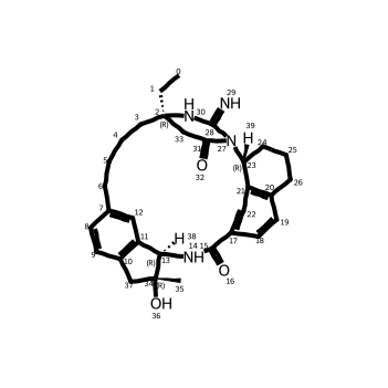 CC[C@]12CCCCc3ccc4c(c3)[C@@H](NC(=O)c3ccc5c(c3)[C@@H](CCC5)N(C(=N)N1)C(=O)C2)[C@](C)(O)C4